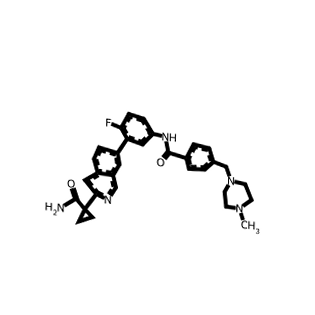 CN1CCN(Cc2ccc(C(=O)Nc3ccc(F)c(-c4ccc5cc(C6(C(N)=O)CC6)ncc5c4)c3)cc2)CC1